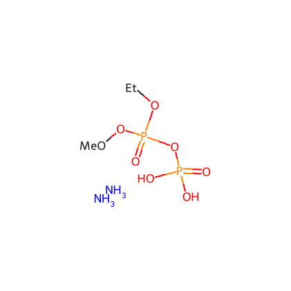 CCOP(=O)(OOC)OP(=O)(O)O.N.N